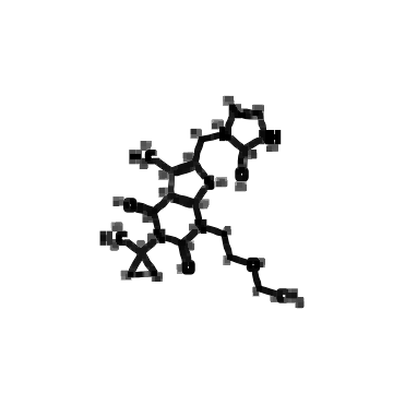 CCOCCn1c(=O)n(C2(C)CC2)c(=O)c2c(C)c(Cn3nc[nH]c3=O)sc21